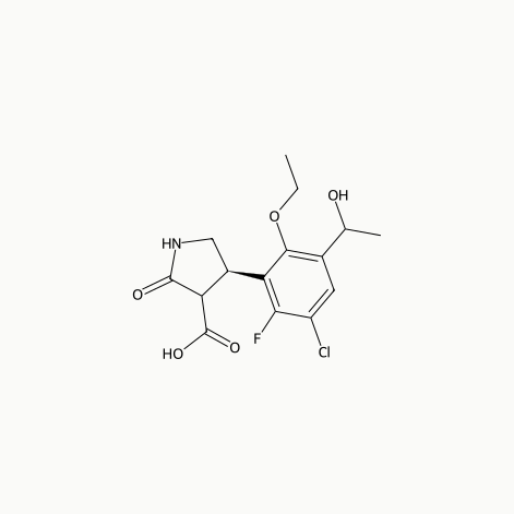 CCOc1c(C(C)O)cc(Cl)c(F)c1[C@@H]1CNC(=O)C1C(=O)O